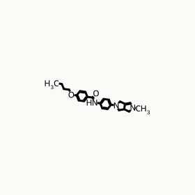 CCCCOc1ccc(C(=O)Nc2ccc(N3CC4=CN(C)CC4C3)cc2)cc1